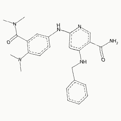 CN(C)C(=O)c1cc(Nc2cc(NCc3ccccc3)c(C(N)=O)cn2)ccc1N(C)C